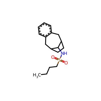 CCCCS(=O)(=O)NC1C2CCC1Cc1ccccc1C2